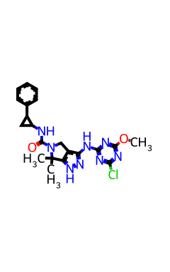 COc1nc(Cl)nc(Nc2n[nH]c3c2CN(C(=O)NC2CC2c2ccccc2)C3(C)C)n1